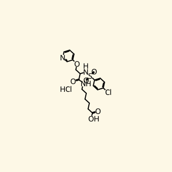 Cl.O=C(O)CCCCCNC(=O)C(COc1cccnc1)NS(=O)(=O)c1ccc(Cl)cc1